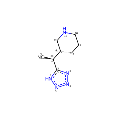 N#C[C@H](c1nnn[nH]1)[C@H]1CCCNC1